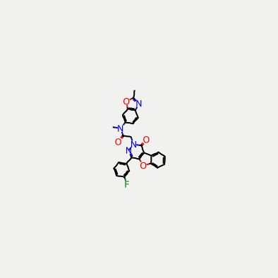 Cc1nc2ccc(N(C)C(=O)Cn3nc(-c4cccc(F)c4)c4oc5ccccc5c4c3=O)cc2o1